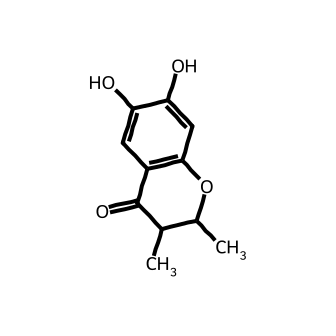 CC1Oc2cc(O)c(O)cc2C(=O)C1C